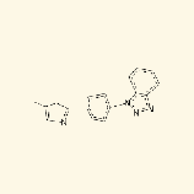 CC1=CN=C(c2ccc(-n3nnc4ccccc43)cc2)C1